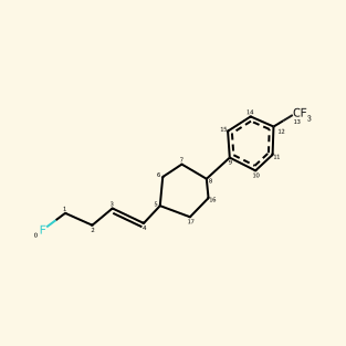 FCC/C=C/C1CCC(c2ccc(C(F)(F)F)cc2)CC1